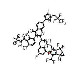 Cc1cc(-c2ccc3c(=O)n(-c4ccc(Cl)c5c(NS(C)(=O)=O)nn(C)c45)c([C@H](Cc4cc(F)cc(F)c4)NC(=O)Cn4nc(C(F)F)c5c4C(F)(F)C4C[C@H]54)nc3c2)nn1CC(F)(F)C(F)(F)F